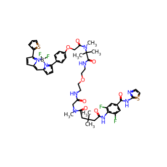 CN(CC(=O)NCCOCCNC(=O)C(C)(C)N(C)C(=O)COc1ccc(-c2ccc3n2[B-](F)(F)[N+]2=C(c4cccs4)C=CC2=C3)cc1)C(=O)CC(C)(C)CC(=O)Nc1c(F)cc(C(=O)Nc2nccs2)cc1F